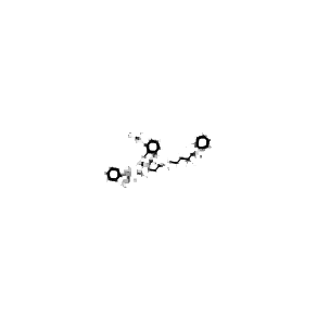 O=C(CC(NC=NS(=O)(=O)c1ccccc1)S(=O)(=O)Cc1ccccc1OC(F)F)NCCCC(O)c1nc2ccccc2o1